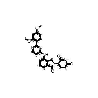 COc1ccc(-c2nccc(Nc3cccc4c3CN(C3CCC(=O)NC3=O)C4=O)n2)c(OC)c1